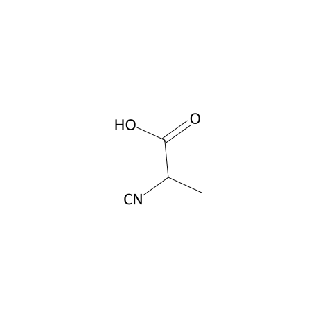 [C-]#[N+]C(C)C(=O)O